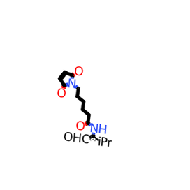 CC(C)[C@@H](C=O)NC(=O)CCCCCN1C(=O)C=CC1=O